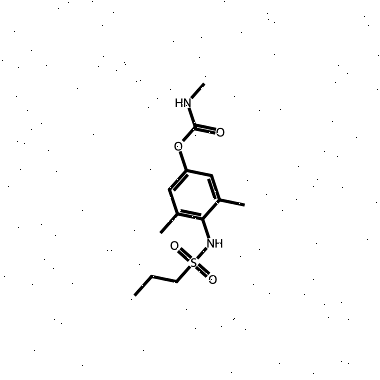 CCCS(=O)(=O)Nc1c(C)cc(OC(=O)NC)cc1C